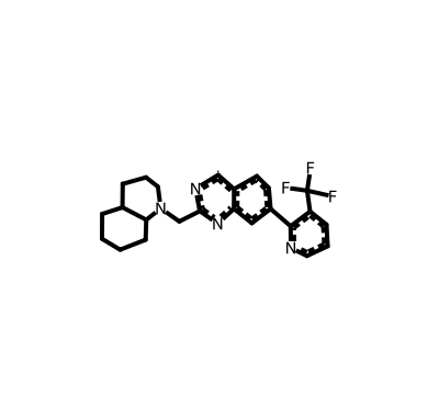 FC(F)(F)c1cccnc1-c1ccc2[c]nc(CN3CCCC4CCCCC43)nc2c1